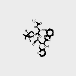 CC(C)(C)[C@H](NC(=O)C(F)(F)F)C(=O)N1C[C@H]2[C@@H]([C@H]1C(=O)N[C@@H](Cc1ccccn1)C(O)c1nc3ccccc3s1)C2(C)C